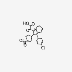 O=C(O)C(=O)c1c(-c2ccc([N+](=O)[O-])cc2)c(-c2ccc(Cl)cc2)c2ccccn12